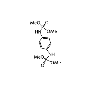 COP(=O)(Nc1ccc(NP(=O)(OC)OC)cc1)OC